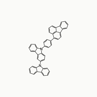 c1ccc2c(c1)-c1cccc3c(-c4ccc(-n5c6ccccc6c6cc(-n7c8ccccc8c8ccccc87)ccc65)cc4)ccc-2c13